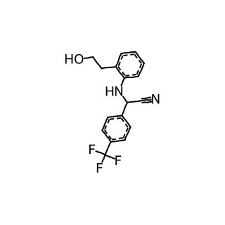 N#CC(Nc1ccccc1CCO)c1ccc(C(F)(F)F)cc1